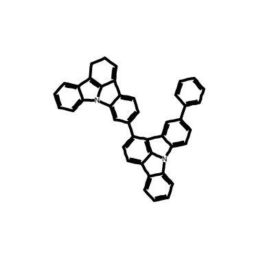 C1=c2c3ccc(-c4ccc5c6ccccc6n6c7ccc(-c8ccccc8)cc7c4c56)cc3n3c2c(c2ccccc23)CC1